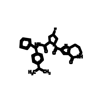 CC(C)c1ccc(C(NC(=O)C2CC(F)CN2C(=O)c2cc3n(n2)CCCNC3=O)c2ccccc2)cc1